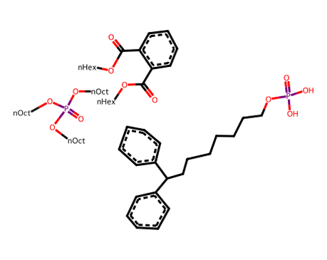 CCCCCCCCOP(=O)(OCCCCCCCC)OCCCCCCCC.CCCCCCOC(=O)c1ccccc1C(=O)OCCCCCC.O=P(O)(O)OCCCCCCCC(c1ccccc1)c1ccccc1